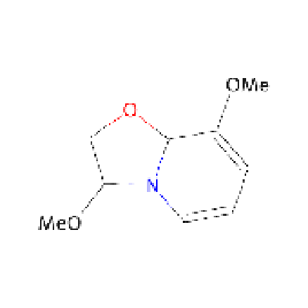 COC1=CC=CN2C(OC)COC12